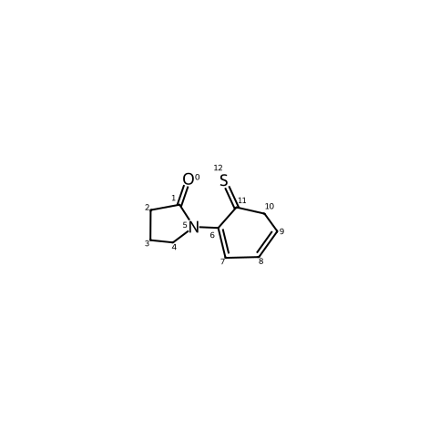 O=C1CCCN1C1=CC=CCC1=S